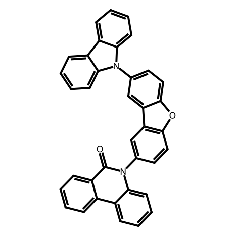 O=c1c2ccccc2c2ccccc2n1-c1ccc2oc3ccc(-n4c5ccccc5c5ccccc54)cc3c2c1